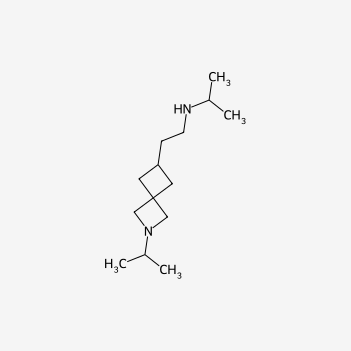 CC(C)NCCC1CC2(C1)CN(C(C)C)C2